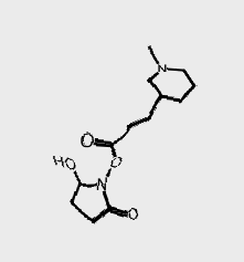 CN1CCCC(CCC(=O)ON2C(=O)CCC2O)C1